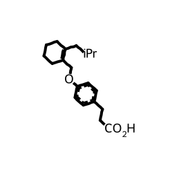 CC(C)CC1=C(COc2ccc(CCC(=O)O)cc2)CCCC1